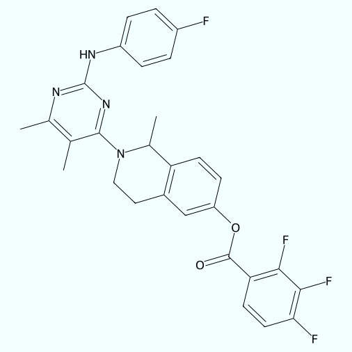 Cc1nc(Nc2ccc(F)cc2)nc(N2CCc3cc(OC(=O)c4ccc(F)c(F)c4F)ccc3C2C)c1C